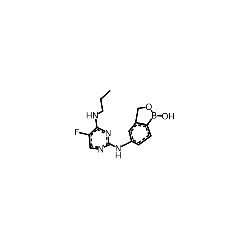 CCCNc1nc(Nc2ccc3c(c2)COB3O)ncc1F